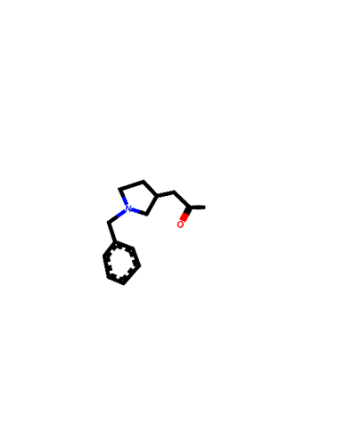 CC(=O)CC1CCN(Cc2ccccc2)C1